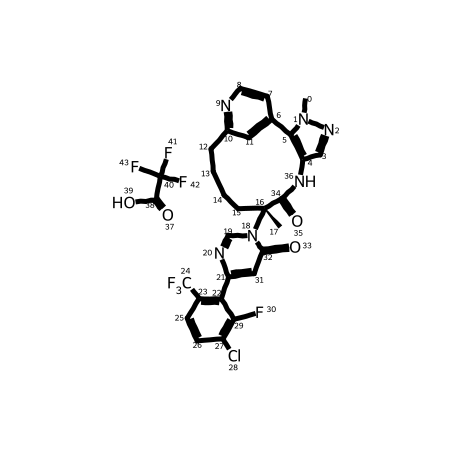 Cn1ncc2c1-c1ccnc(c1)CCCC[C@@](C)(n1cnc(-c3c(C(F)(F)F)ccc(Cl)c3F)cc1=O)C(=O)N2.O=C(O)C(F)(F)F